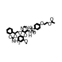 COc1ccccc1Oc1c(NS(=O)(=O)c2ccc(OCCOC(C)=O)cc2)ncnc1OCC(OC(N)=O)c1ccccc1